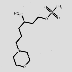 CS(=O)(=O)OCC[C@@H](CCCN1CCOCC1)C(=O)O